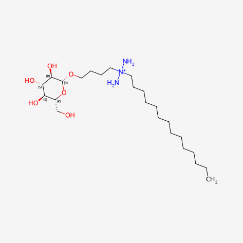 CCCCCCCCCCCCCC[N+](N)(N)CCCCO[C@@H]1O[C@H](CO)[C@@H](O)[C@H](O)[C@H]1O